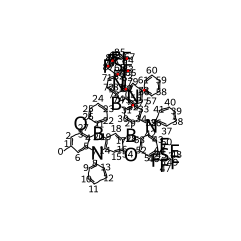 Cc1cc2c3c(c1)N(c1ccccc1)c1cc4c(cc1B3c1ccccc1O2)B1c2cc3c(cc2N(c2ccccc2)c2cc(S(F)(F)(F)(F)F)cc(c21)O4)N(c1ccccc1)c1cc(S(F)(F)(F)(F)F)cc2c1B3c1ccccc1N2c1ccccc1